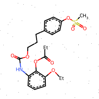 CCOc1cccc(NC(=O)OCCCc2ccc(OS(C)(=O)=O)cc2)c1OC(=O)CC